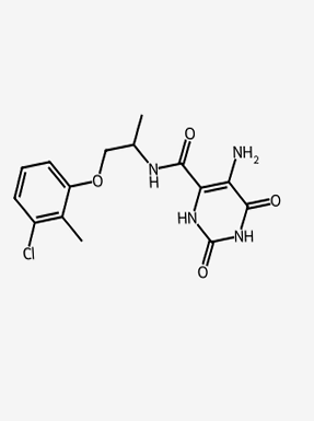 Cc1c(Cl)cccc1OCC(C)NC(=O)c1[nH]c(=O)[nH]c(=O)c1N